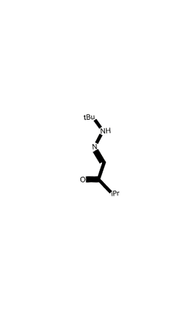 CC(C)C(=O)C=NNC(C)(C)C